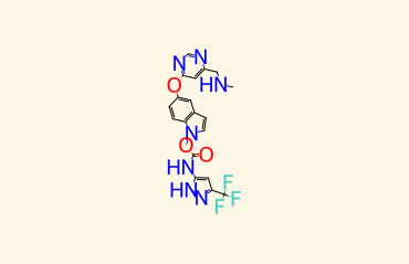 CNCc1cc(Oc2ccc3c(ccn3OC(=O)Nc3cc(C(F)(F)F)n[nH]3)c2)ncn1